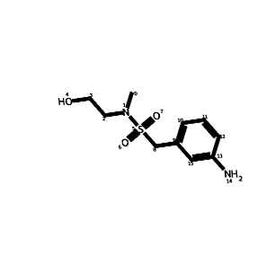 CN(CCO)S(=O)(=O)Cc1cccc(N)c1